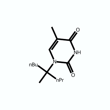 CCCCC(C)(CCC)n1cc(C)c(=O)[nH]c1=O